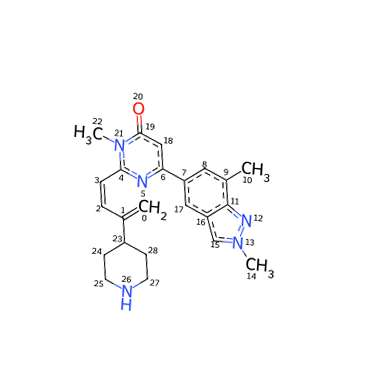 C=C(/C=C\c1nc(-c2cc(C)c3nn(C)cc3c2)cc(=O)n1C)C1CCNCC1